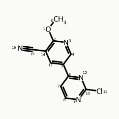 COc1ncc(-c2ccnc(Cl)n2)cc1C#N